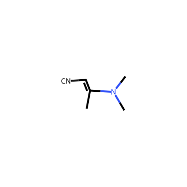 [C-]#[N+]/C=C(\C)N(C)C